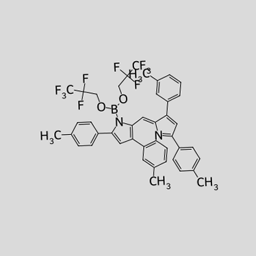 Cc1ccc(C2=N/C(=C\c3c(-c4cccc(C)c4)cc(-c4ccc(C)cc4)n3B(OCC(F)(F)C(F)(F)F)OCC(F)(F)C(F)(F)F)C(c3cccc(C)c3)=C2)cc1